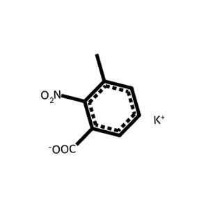 Cc1cccc(C(=O)[O-])c1[N+](=O)[O-].[K+]